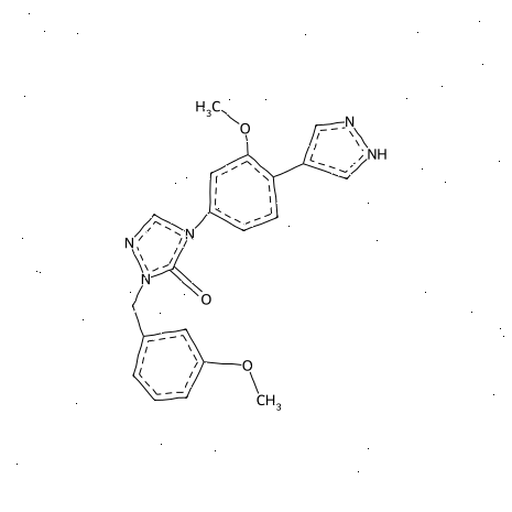 COc1cccc(Cn2ncn(-c3ccc(-c4cn[nH]c4)c(OC)c3)c2=O)c1